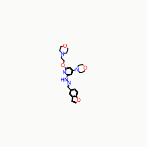 C(=NNc1cc(N2CCOCC2)cc(OCCN2CCOCC2)n1)c1ccc2occc2c1